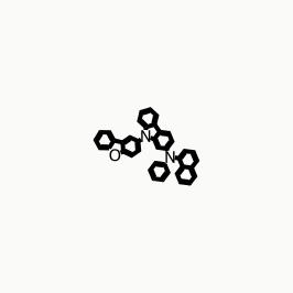 c1ccc(N(c2ccc3c4ccccc4n(-c4ccc5oc6ccccc6c5c4)c3c2)c2cccc3ccccc23)cc1